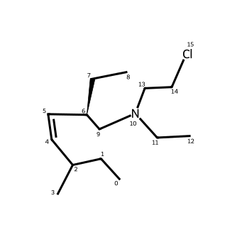 CCC(C)/C=C\[C@@H](CC)CN(CC)CCCl